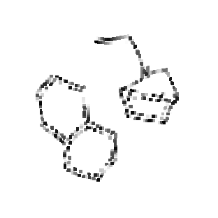 C=CN1Cc2ccc1cc2.c1ccc2ccccc2c1